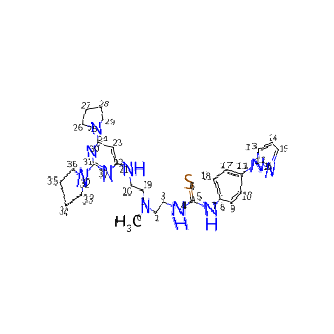 CN(CCNC(=S)Nc1ccc(-n2cccn2)cc1)CCNc1cc(N2CCCC2)nc(N2CCCC2)n1